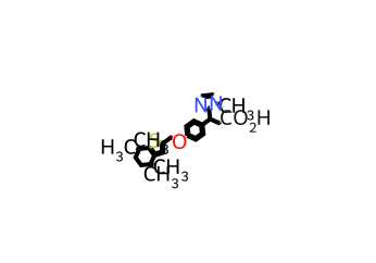 Cn1ccnc1C(CC(=O)O)c1ccc(OCc2cc3c(s2)C(C)(C)CCC3(C)C)cc1